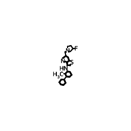 Cc1c(Nc2csc3cc(CN4CCC(F)C4)cnc23)cccc1-c1ccccc1